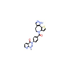 CN(C)c1ncccc1C(=O)Nc1ccc(C(=O)N2CCc3cn[nH]c3-c3sccc32)cc1